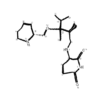 C=C(CNC1CCC(=O)NC1=O)C(C)(OC[C@H]1CCCCN1)C(C)C